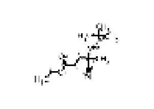 CCOC(=O)CCC(C)(C#N)N=NC(C)(C)C